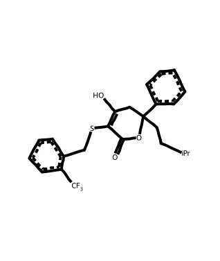 CC(C)CCC1(c2ccccc2)CC(O)=C(SCc2ccccc2C(F)(F)F)C(=O)O1